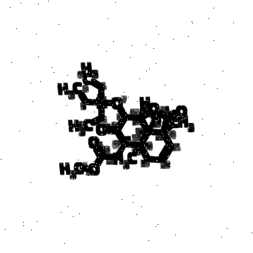 CC[Si](CC)(CC)OC1C(=O)[C@H](CC(=O)OC)[C@@]2(C)CC=C[C@@]3(C)C(=O)O[C@@H]1[C@H]23